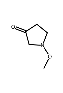 CON1CCC(=O)C1